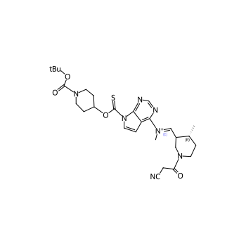 C[C@@H]1CCN(C(=O)CC#N)CC1/C=[N+](\C)c1ncnc2c1ccn2C(=S)OC1CCN(C(=O)OC(C)(C)C)CC1